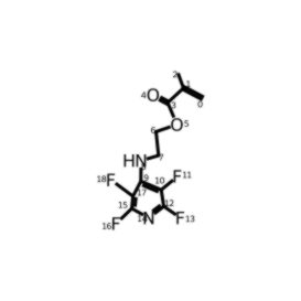 C=C(C)C(=O)OCCNc1c(F)c(F)nc(F)c1F